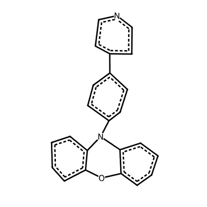 c1ccc2c(c1)Oc1ccccc1N2c1ccc(-c2ccncc2)cc1